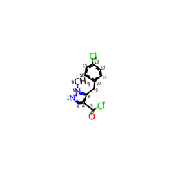 Cn1ncc(C(=O)Cl)c1Cc1ccc(Cl)cc1